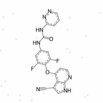 N#Cc1c[nH]c2nccc(Oc3c(F)cc(NC(=O)Nc4cccnn4)cc3F)c12